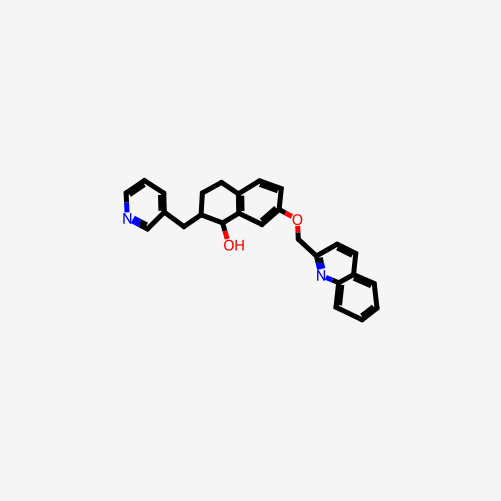 OC1c2cc(OCc3ccc4ccccc4n3)ccc2CCC1Cc1cccnc1